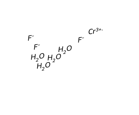 O.O.O.O.[Cr+3].[F-].[F-].[F-]